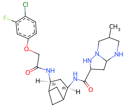 CC1CNC2CC(C(=O)N[C@@H]3C[C@H](NC(=O)COc4ccc(Cl)c(F)c4)C4CC3C4)NN2C1